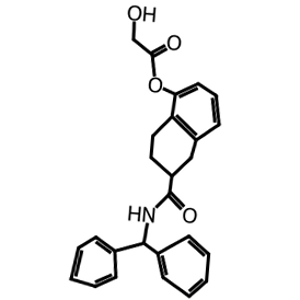 O=C(CO)Oc1cccc2c1CCC(C(=O)NC(c1ccccc1)c1ccccc1)C2